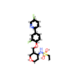 CCS(=O)(=O)NC1CCOCC1COc1ccc(-c2ccc(F)cn2)cc1F